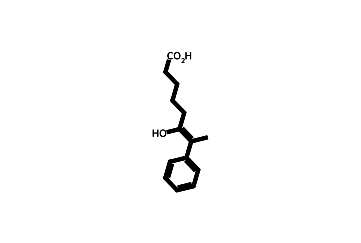 CC(=C(O)CCCCC(=O)O)c1ccccc1